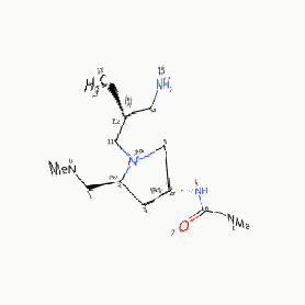 CNC[C@@H]1C[C@@H](NC(=O)NC)CN1C[C@@H](C)CN